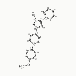 COc1ccc(-c2ccc(-c3cc(O)n(-c4ccccn4)n3)cc2)cc1